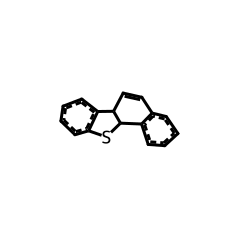 C1=CC2c3ccccc3SC2c2ccccc21